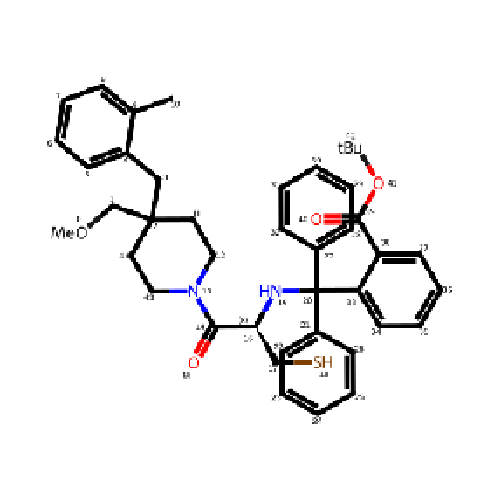 COCC1(Cc2ccccc2C)CCN(C(=O)[C@H](CS)NC(c2ccccc2)(c2ccccc2)c2ccccc2C(=O)OC(C)(C)C)CC1